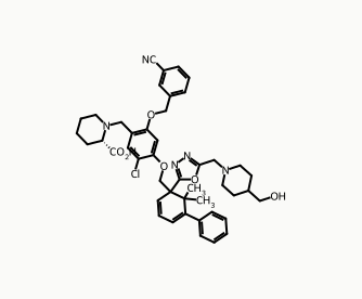 CC1(C)C(c2ccccc2)=CC=CC1(COc1cc(OCc2cccc(C#N)c2)c(CN2CCCC[C@H]2C(=O)O)cc1Cl)c1nnc(CN2CCC(CO)CC2)o1